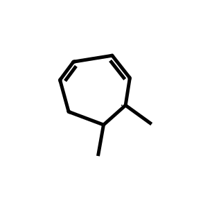 C[C]1C=CC=CCC1C